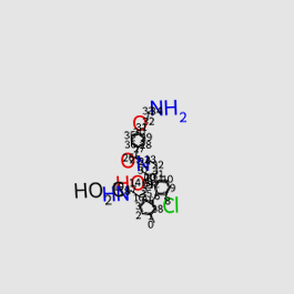 Cc1cccc(-c2c(Cl)cccc2[C@](O)(CCCNC(=O)O)[C@@H]2CCCN(C(=O)c3ccc(OCCN)cc3)C2)c1